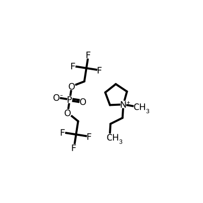 CCC[N+]1(C)CCCC1.O=P([O-])(OCC(F)(F)F)OCC(F)(F)F